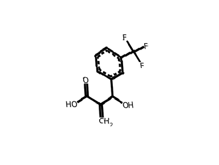 C=C(C(=O)O)C(O)c1cccc(C(F)(F)F)c1